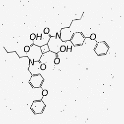 CCCCCN(Cc1ccc(Oc2ccccc2)cc1)C(=O)C1C(C(=O)O)C(C(=O)N(CCCCC)Cc2ccc(Oc3ccccc3)cc2)C1C(=O)O